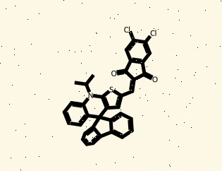 CC(C)N1c2ccccc2C2(c3ccccc3-c3ccccc32)c2cc(C=C3C(=O)c4cc(Cl)c(Cl)cc4C3=O)sc21